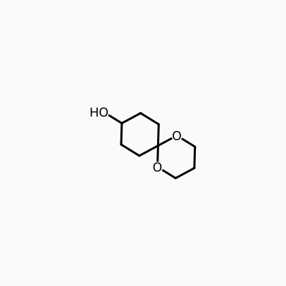 OC1CCC2(CC1)OCCCO2